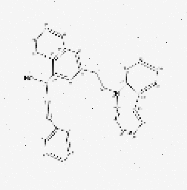 OC(C#Cc1ccccc1)c1cc(CCn2c3ccccc3c3ccccc32)cc2c1CCC=C2